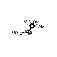 COc1cc(-c2nnc(SCC(=O)O)[nH]2)cc([N+](=O)[O-])c1O